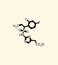 C=CC(c1ccc(F)cc1F)S(=O)(=O)Nc1nc(CC(=O)OCC)cs1